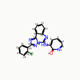 O=c1nccccc1Nc1nc2ccccc2c2nc(-c3ccccc3F)nn12